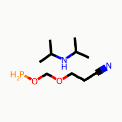 CC(C)NC(C)C.N#CCCOCOP